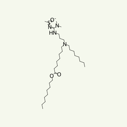 CCCCCCCCCOC(=O)CCCCCCCN(CCCCCCCC)CCCN/C(=N/[S+](C)[O-])N(C)C